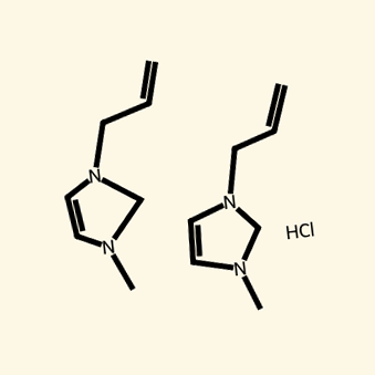 C=CCN1C=CN(C)C1.C=CCN1C=CN(C)C1.Cl